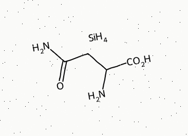 NC(=O)CC(N)C(=O)O.[SiH4]